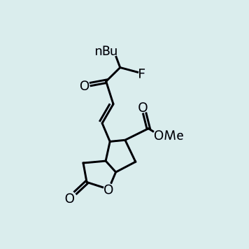 CCCCC(F)C(=O)/C=C/C1C(C(=O)OC)CC2OC(=O)CC21